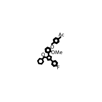 COc1c(OCc2ccc(CC(C)=O)cc2)cccc1C1CC(c2ccc(F)cc2)=CC1C(=O)C1CCCCC1